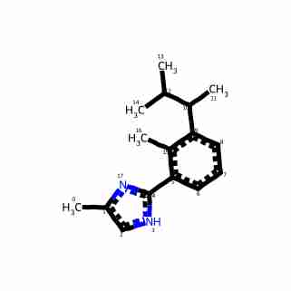 Cc1c[nH]c(-c2cccc(C(C)C(C)C)c2C)n1